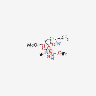 CCCN(C(=O)Oc1c(OCCOC)cccc1Oc1ncc(C(F)(F)F)cc1Cl)S(=O)(=O)NCCOC(C)C